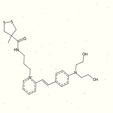 CC1(C(=O)NCCC[n+]2ccccc2/C=C/c2ccc(N(CCO)CCO)cc2)CSSC1